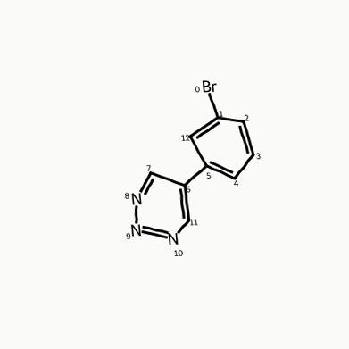 Brc1cccc(-c2cnnnc2)c1